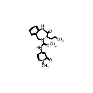 CC[C@H](C)[C@H]1C(=O)Nc2ccccc2CN1C(=O)Nc1ccn(C)c(=O)c1